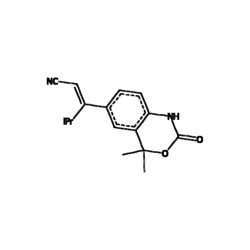 CC(C)/C(=C\C#N)c1ccc2c(c1)C(C)(C)OC(=O)N2